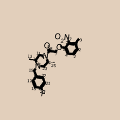 Cc1cccc(OCC(=O)N2C[C@H](C)N(Cc3ccc(F)cc3)C[C@H]2C)c1[N+](=O)[O-]